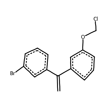 C=C(c1cccc(Br)c1)c1cccc(OCCl)c1